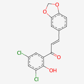 O=C(C=Cc1ccc2c(c1)OCO2)c1cc(Cl)cc(Cl)c1O